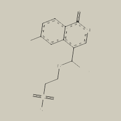 CC(NCCS(N)(=O)=O)c1c[nH]c(=O)c2ccc(F)cc12